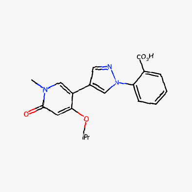 CC(C)Oc1cc(=O)n(C)cc1-c1cnn(-c2ccccc2C(=O)O)c1